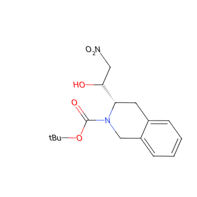 CC(C)(C)OC(=O)N1Cc2ccccc2C[C@H]1C(O)C[N+](=O)[O-]